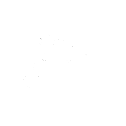 C[C@H](N)Cc1cc2nncc(NCc3ccncc3)c2s1